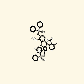 Cc1cccc2c1C(=O)OC21c2ccc(O[Si](c3ccccc3)(c3ccccc3)C(C)(C)C)c(O[N+](=O)[O-])c2Oc2c1ccc(O[Si](c1ccccc1)(c1ccccc1)C(C)(C)C)c2O[N+](=O)[O-]